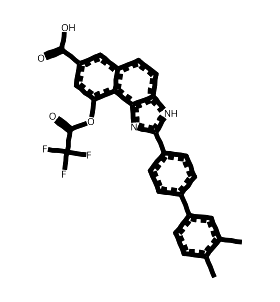 Cc1ccc(-c2ccc(-c3nc4c(ccc5cc(C(=O)O)cc(OC(=O)C(F)(F)F)c54)[nH]3)cc2)cc1C